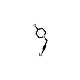 CCC#CCN1CCC([O])CC1